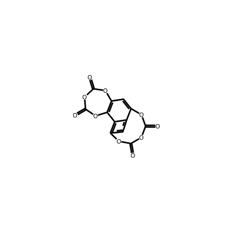 O=C1OC(=O)Oc2c(cc3oc(=O)oc(=O)oc4cccc3c24)O1